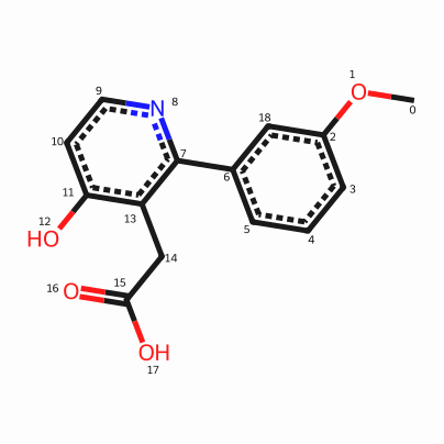 COc1cccc(-c2nccc(O)c2CC(=O)O)c1